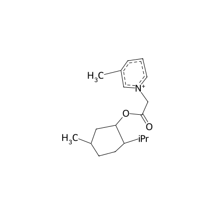 Cc1ccc[n+](CC(=O)OC2CC(C)CCC2C(C)C)c1